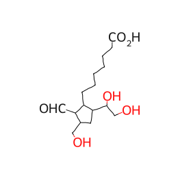 O=CC1C(CO)CC(C(O)CO)C1CCCCCCC(=O)O